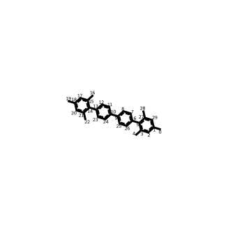 Cc1cc(C)c(-c2ccc(-c3ccc(-c4c(C)cc(C)cc4C)cc3)cc2)c(C)c1